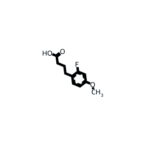 COc1ccc(CCCC(=O)O)c(F)c1